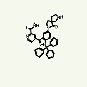 CNC(=O)c1cc(-c2nn(C(c3ccccc3)(c3ccccc3)c3ccccc3)c3ccc(N4CCC5(CCNC5)C4=O)cc23)ccn1